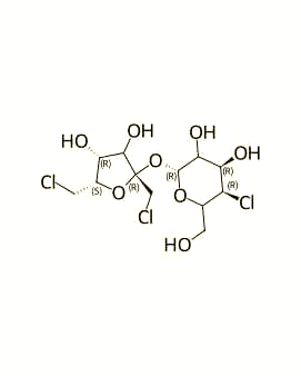 OCC1O[C@H](O[C@]2(CCl)O[C@H](CCl)[C@H](O)C2O)C(O)[C@@H](O)[C@H]1Cl